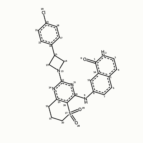 O=c1[nH]ccc2ccc(Nc3nc(N4CC(c5ccc(Cl)cc5)C4)nc4c3S(=O)(=O)CCC4)cc12